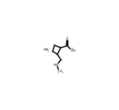 Br.CNCC1CCC1C(=O)O